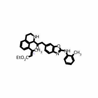 CCOC(=O)/C=C(/C)c1cccc2c1C(C(=O)Cc1ccc3nc(Nc4ccccc4C)oc3c1)NCC2